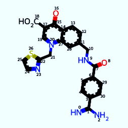 N=C(N)c1ccc(C(=O)NCc2ccc3c(=O)c(C(=O)O)cn(Cc4nccs4)c3c2)cc1